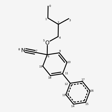 CCC(C)COC1(C#N)C=CC(c2ccccc2)=CC1